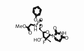 COC(=O)CNP(=O)(OC[C@H]1O[C@@H](n2ccc(=O)[nH]c2=O)[C@](C)(F)[C@@H]1O)Oc1ccccc1